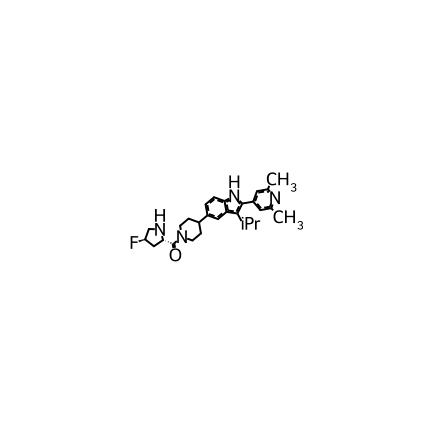 Cc1cc(-c2[nH]c3ccc(C4CCN(C(=O)[C@@H]5C[C@@H](F)CN5)CC4)cc3c2C(C)C)cc(C)n1